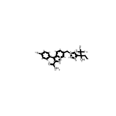 CCC(O)(c1cn(Cc2ccc3c(-c4ccc(F)cc4)c(C(N)=O)nn3c2)nn1)C(F)(F)F